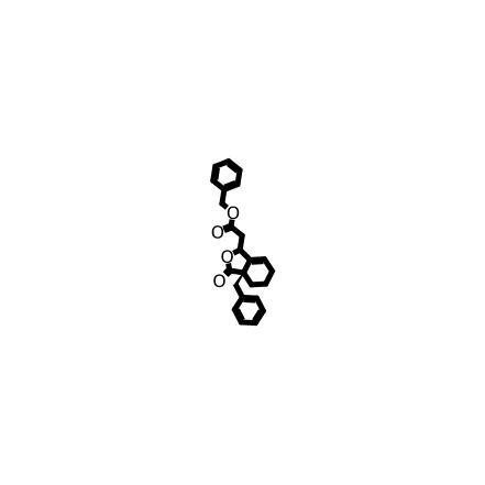 O=C(CC1OC(=O)[C@@]2(Cc3ccccc3)CCCC=C12)OCc1ccccc1